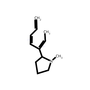 C=C/C=C\C(=C/C)C1CCCN1C